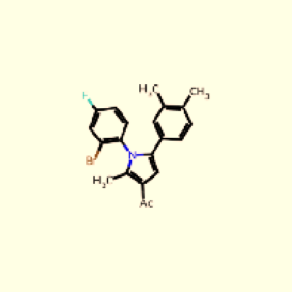 CC(=O)c1cc(-c2ccc(C)c(C)c2)n(-c2ccc(F)cc2Br)c1C